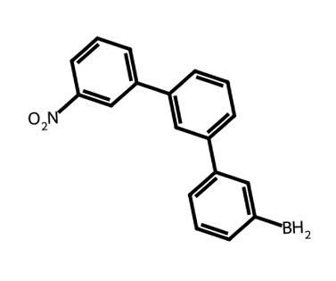 Bc1cccc(-c2cccc(-c3cccc([N+](=O)[O-])c3)c2)c1